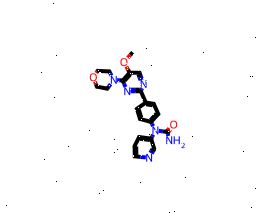 COc1cnc(-c2ccc(N(C(N)=O)c3cccnc3)cc2)nc1N1CCOCC1